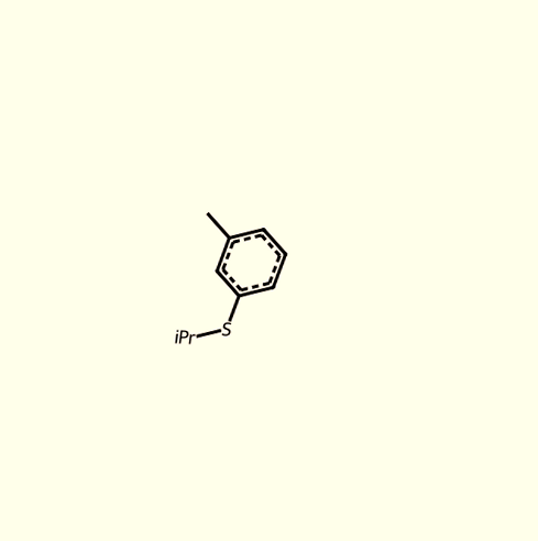 Cc1cccc(SC(C)C)c1